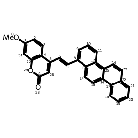 COc1ccc2c(C=Cc3cccc4c3ccc3c5ccccc5ccc43)cc(=O)oc2c1